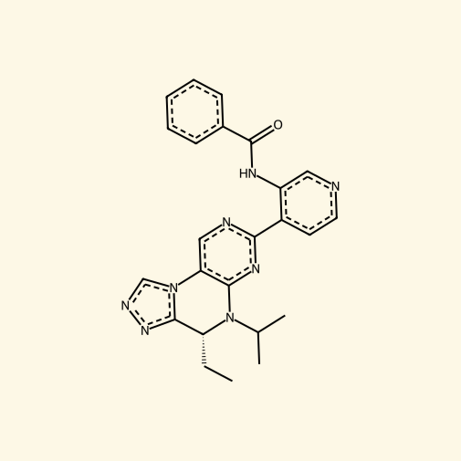 CC[C@@H]1c2nncn2-c2cnc(-c3ccncc3NC(=O)c3ccccc3)nc2N1C(C)C